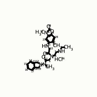 CCNCCN(CC(=O)N(C)N1Cc2ccccc2C1)C(=O)CNc1cc2c(cc1C)oc(=O)n2C.Cl